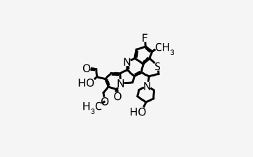 COCc1c(C(O)C=O)cc2n(c1=O)Cc1c-2nc2cc(F)c(C)c3c2c1C(N1CCC(O)CC1)CS3